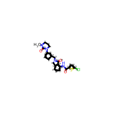 CN1CCCN(c2cccc(CN3Cc4cccc(NC(=O)c5ccc(Cl)s5)c4C3=O)c2)C1=O